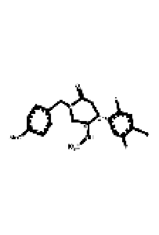 COc1ccc(CN2C[C@H](NC(=O)O)[C@@H](c3cc(F)c(F)cc3F)CC2=O)cc1